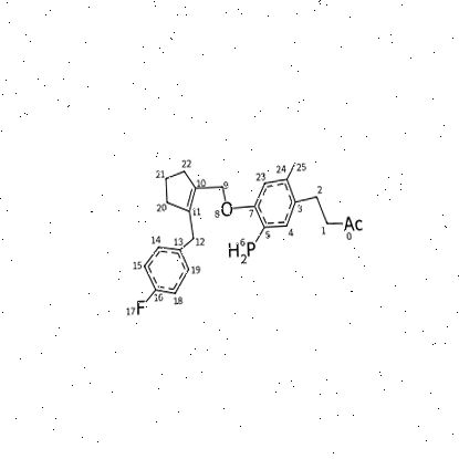 CC(=O)CCc1cc(P)c(OCC2=C(Cc3ccc(F)cc3)CCC2)cc1C